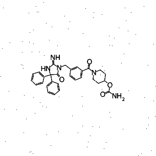 N=C1NC(c2ccccc2)(c2ccccc2)C(=O)N1Cc1cccc(C(=O)N2CCC(OC(N)=O)CC2)c1